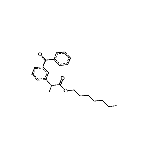 CCCCCCCOC(=O)C(C)c1cccc(C(=O)c2ccccc2)c1